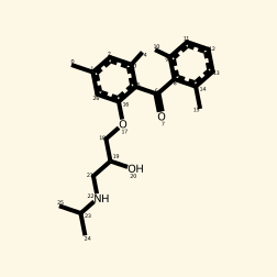 Cc1cc(C)c(C(=O)c2c(C)cccc2C)c(OCC(O)CNC(C)C)c1